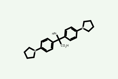 CCCC(C(=O)O)(c1ccc(N2CCCC2)cc1)c1ccc(N2CCCC2)cc1